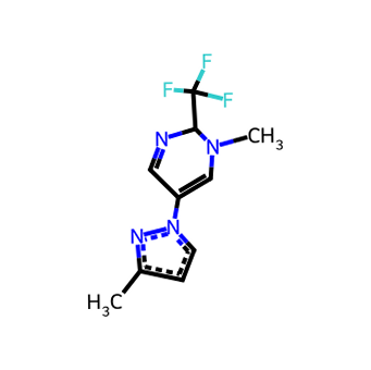 Cc1ccn(C2=CN(C)C(C(F)(F)F)N=C2)n1